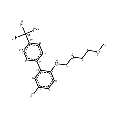 COCCOCOc1ccc(F)cc1-c1ccc(C(F)(F)F)nc1